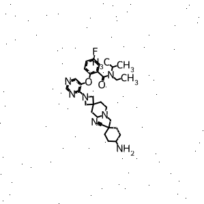 CCN(C(=O)c1cc(F)ccc1Oc1cncnc1N1CC2(CCN(CC3(C#N)CCC(N)CC3)CC2)C1)C(C)C